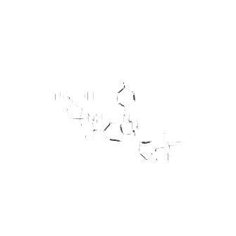 CC1(NC(=O)c2ccc3c(-c4ccnc(C(F)(F)F)c4)nn(-c4ccc(F)cc4)c3c2)CCS(O)(O)C1